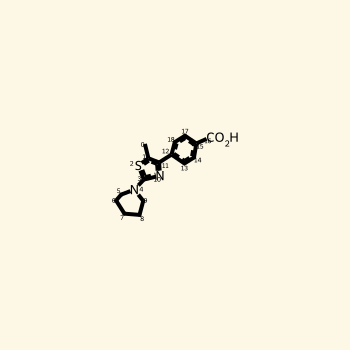 Cc1sc(N2CCCCC2)nc1-c1ccc(C(=O)O)cc1